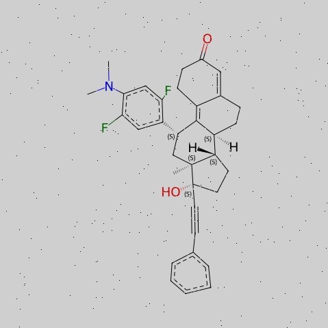 CN(C)c1cc(F)c([C@H]2C[C@@]3(C)[C@@H](CC[C@@]3(O)C#Cc3ccccc3)[C@@H]3CCC4=CC(=O)CCC4=C32)cc1F